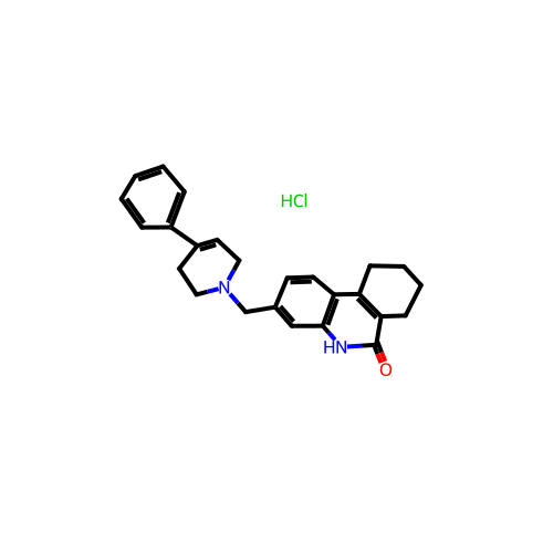 Cl.O=c1[nH]c2cc(CN3CC=C(c4ccccc4)CC3)ccc2c2c1CCCC2